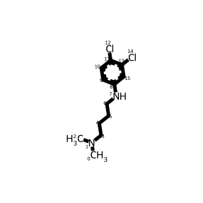 CN(C)CCCCNc1ccc(Cl)c(Cl)c1